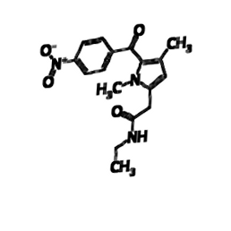 CCNC(=O)Cc1cc(C)c(C(=O)c2ccc([N+](=O)[O-])cc2)n1C